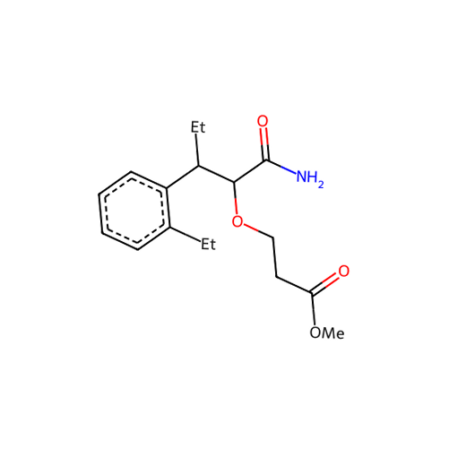 CCc1ccccc1C(CC)C(OCCC(=O)OC)C(N)=O